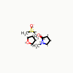 C1CCOC1.CN1CCCC1=O.C[S+](C)[O-]